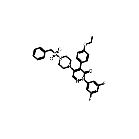 CCOc1ccc(-c2c(N3CCN(S(=O)(=O)Cc4ccccc4)CC3)cnn(-c3cc(F)cc(F)c3)c2=O)cc1